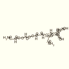 C/C(=N\O)C(C)(C)NCC(CNC(C)(C)/C(C)=N/O)NC(=O)CCCC(=O)N[C@@H](CCCCCNC(=O)CCCC(=O)NCCOCCOCC(=O)NCCOCCOCC(=O)NCCCC[C@H](C)C(N)=O)C(=O)NCCCC[C@H](C)C(N)=O